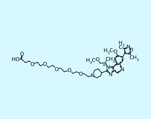 COC[C@@H](C)n1c(C2CCN(CCOCCOCCOCCOCCOCCC(=O)O)CC2)nc2cnc3cc(-c4c(C)noc4C)c(OC)cc3c21